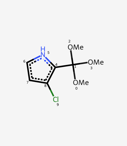 COC(OC)(OC)c1[nH]ccc1Cl